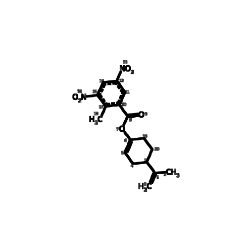 C=C(C)C1CC=C(OC(=O)c2cc([N+](=O)[O-])cc([N+](=O)[O-])c2C)CC1